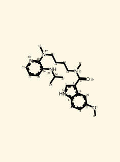 COc1ccc2[nH]cc(C(=O)N(C)CCCCN(C)c3ncccc3NC(C)C)c2c1